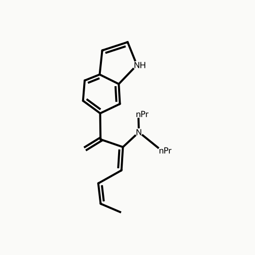 C=C(/C(=C\C=C/C)N(CCC)CCC)c1ccc2cc[nH]c2c1